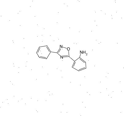 Nc1ccccc1-c1nc(-c2ccccc2)no1